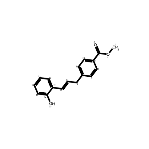 COC(=O)c1ccc(CC=Cc2ccccc2O)cc1